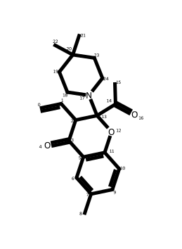 C=CC1C(=O)c2cc(C)ccc2OC1(C(C)=O)N1CCC(C)(C)CC1